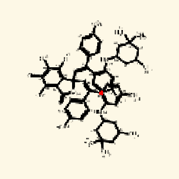 CCCCc1ccc(C(=CC2(C=C(c3ccc(CCCC)cc3)c3ccc(C)cc3NC3CC(C)CC(C)(C)C3)OC(=O)c3c(Cl)c(Cl)c(Cl)c(Cl)c32)c2ccc(C)cc2NC2CC(C)CC(C)(C)C2)cc1